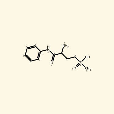 CP(=O)(O)CCC(N)C(=O)Nc1ccccc1